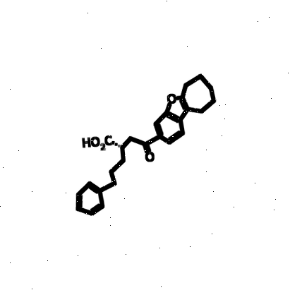 O=C(C[C@H](CCCc1ccccc1)C(=O)O)c1ccc2c3c(oc2c1)CCCCC3